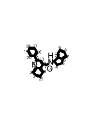 O=C(NC1CCc2ccccc21)c1cc(-c2ccccc2)nc2ccccc12